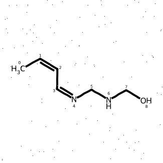 C/C=C\C=N/CNCO